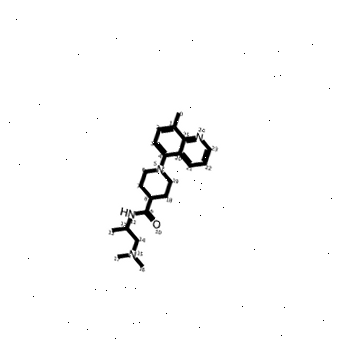 Cc1ccc(N2CCC(C(=O)NC(C)CN(C)C)CC2)c2cccnc12